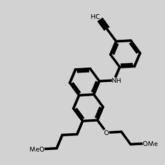 C#Cc1cccc(Nc2cccc3cc(CCCOC)c(OCCOC)cc23)c1